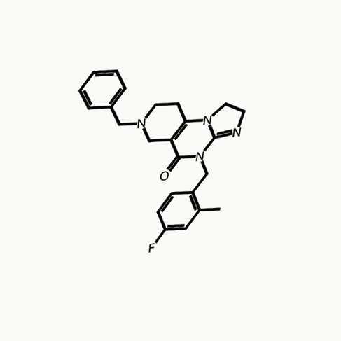 Cc1cc(F)ccc1CN1C(=O)C2=C(CCN(Cc3ccccc3)C2)N2CCN=C12